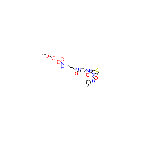 [CH2]COCCOCCOC(=O)NCCCCCCNC(=O)[C@H]1CC[C@H](NC(=O)c2cc3sccc3n2CC(=O)N(CC)c2cccc(C)c2)CC1